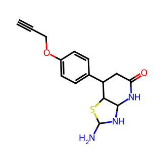 C#CCOc1ccc(C2CC(=O)NC3NC(N)SC32)cc1